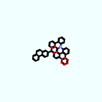 c1ccc(-c2ccccc2-c2c(-c3ccccc3)cccc2N(c2ccc(-c3ccc4c(ccc5ccccc54)c3)cc2)c2ccccc2-c2ccccc2)cc1